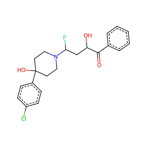 O=C(c1ccccc1)C(O)CC(F)N1CCC(O)(c2ccc(Cl)cc2)CC1